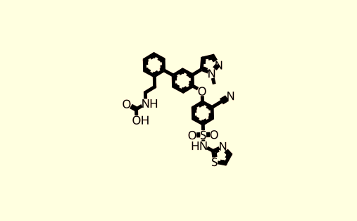 Cn1nccc1-c1cc(-c2ccccc2CCNC(=O)O)ccc1Oc1ccc(S(=O)(=O)Nc2nccs2)cc1C#N